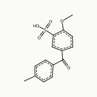 COc1ccc(C(=O)c2ccc(C)cc2)cc1S(=O)(=O)O